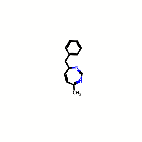 CC1=NC=NC(Cc2ccccc2)C=C1